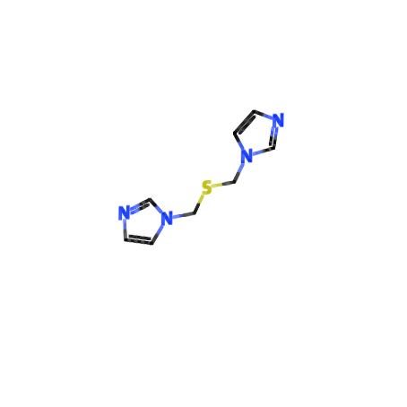 c1cn(CSCn2ccnc2)cn1